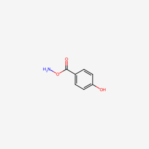 NOC(=O)c1ccc(O)cc1